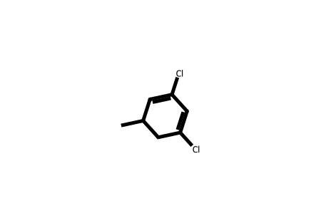 CC1C=C(Cl)C=C(Cl)C1